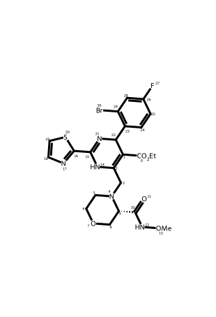 CCOC(=O)C1=C(CN2CCOC[C@H]2C(=O)NOC)NC(c2nccs2)=NC1c1ccc(F)cc1Br